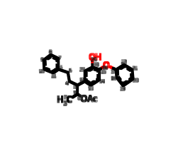 CC(=O)OC(C)C(CCc1ccccc1)c1ccc(Oc2ccccc2)c(O)c1